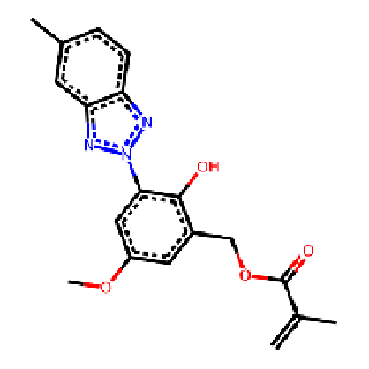 C=C(C)C(=O)OCc1cc(OC)cc(-n2nc3ccc(C)cc3n2)c1O